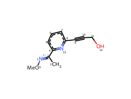 CO/N=C(\C)c1cccc(C#CCO)n1